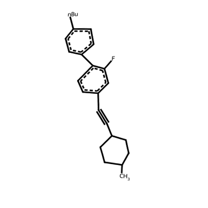 CCCCc1ccc(-c2ccc(C#CC3CCC(C)CC3)cc2F)cc1